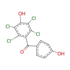 O=C(c1ccc(O)cc1)c1c(Cl)c(Cl)c(O)c(Cl)c1Cl